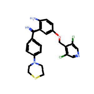 N=C(c1ccc(N2CCSCC2)cc1)c1cc(OCc2c(Cl)cncc2Cl)ccc1N